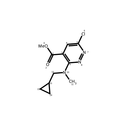 COC(=O)c1cc(Cl)nnc1N(C)CC1CC1